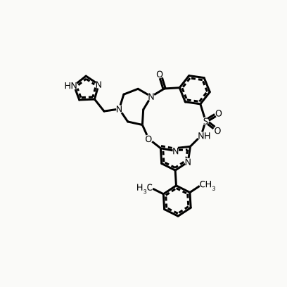 Cc1cccc(C)c1-c1cc2nc(n1)NS(=O)(=O)c1cccc(c1)C(=O)N1CCN(Cc3c[nH]cn3)CC(C1)O2